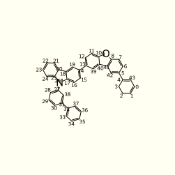 C1=CCCC(c2ccc3oc4ccc(-c5ccc6c(c5)c5ccccc5n6-c5cccc(-c6ccccc6)c5)cc4c3c2)=C1